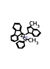 CC1=C[CH](/[Zr]([CH]2c3ccccc3-c3ccccc32)=[Si](\C)c2ccccc2)c2ccccc21